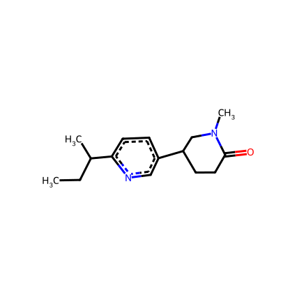 CCC(C)c1ccc(C2CCC(=O)N(C)C2)cn1